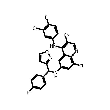 N#Cc1cnc2c(Cl)cc(NC(c3ccc(F)cc3)c3ccon3)cc2c1Nc1ccc(F)c(Cl)c1